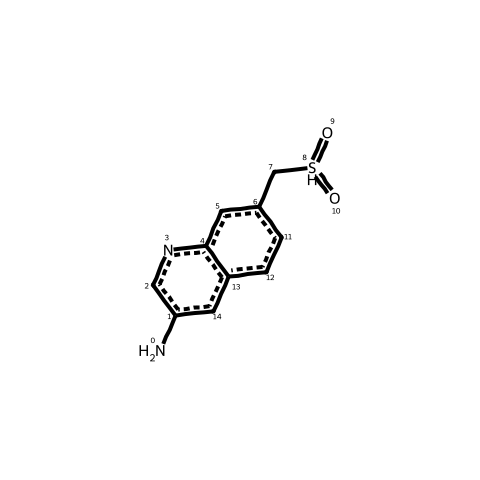 Nc1cnc2cc(C[SH](=O)=O)ccc2c1